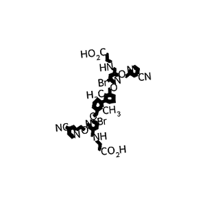 Cc1c(COc2nc(OCc3cc(C#N)ccn3)c(CNCCCC(=O)O)cc2Br)cccc1-c1cccc(COc2nc(OCc3cc(C#N)ccn3)c(CNCCCC(=O)O)cc2Br)c1C